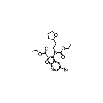 CCOC(=O)c1oc2ncc(Br)cc2c1N(CCC1CCCO1)C(=O)OCC